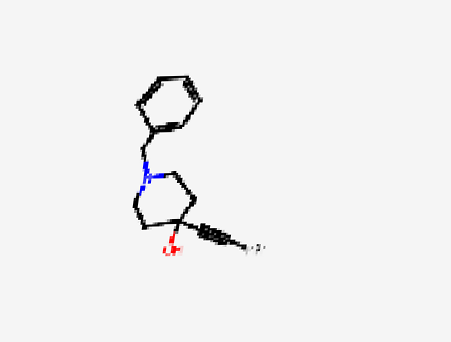 CCCC#CC1(O)CCN(Cc2ccccc2)CC1